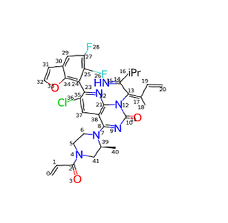 C=CC(=O)N1CCN(c2nc(=O)n(/C(C(=N)C(C)C)=C(\C)C=C)c3nc(-c4c(F)c(F)cc5ccoc45)c(Cl)cc23)[C@@H](C)C1